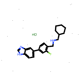 Cl.Fc1cc(-c2ccc3[nH]cnc3c2)ccc1CNCC1CCCCC1